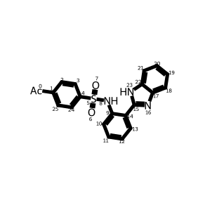 CC(=O)c1ccc(S(=O)(=O)Nc2ccccc2-c2nc3ccccc3[nH]2)cc1